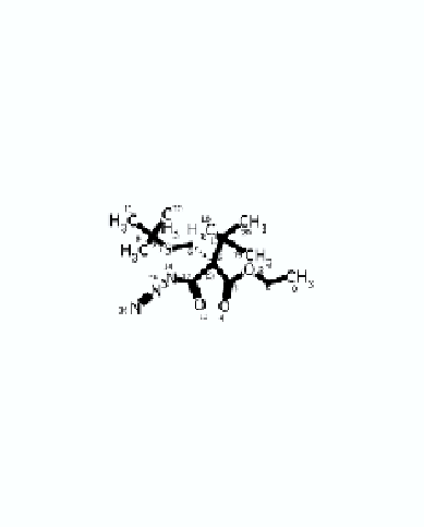 CCOC(=O)[C@@](CSC(C)(C)C)(C(=O)N=[N+]=[N-])C(C)(C)C